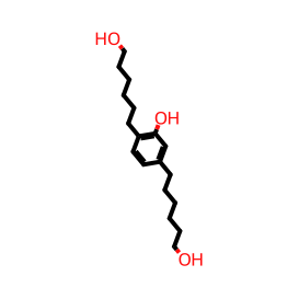 OCCCCCCc1ccc(CCCCCCO)c(O)c1